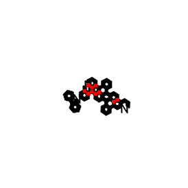 c1ccc(N(c2ccc(-n3c4ccccc4c4ccccc43)cc2)c2ccc3c(-c4ccccc4-c4ccc5cccnc5c4)c4ccccc4c(-c4ccccc4-c4ccc5cccnc5c4)c3c2)cc1